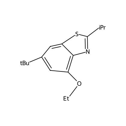 CCOc1cc(C(C)(C)C)cc2sc(C(C)C)nc12